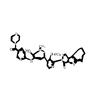 CN1N=C(c2ccnc(-n3ncc4c5c(sc4c3=O)CCCC5)c2C=O)C=C(Nc2ccc(C(=O)N3CCOCC3)cn2)C1O